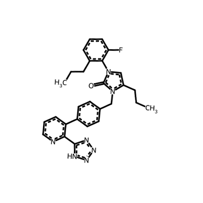 CCCc1cccc(F)c1-n1cc(CCC)n(Cc2ccc(-c3cccnc3-c3nnn[nH]3)cc2)c1=O